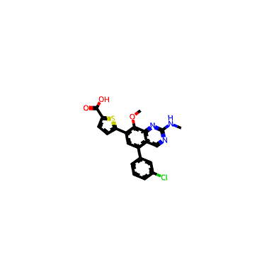 CNc1ncc2c(-c3cccc(Cl)c3)cc(-c3ccc(C(=O)O)s3)c(OC)c2n1